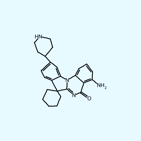 Nc1cccc2c1c(=O)nc1n2-c2cc(C3CCNCC3)ccc2C12CCCCC2